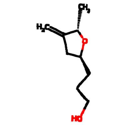 C=C1C[C@H](CCCO)O[C@H]1C